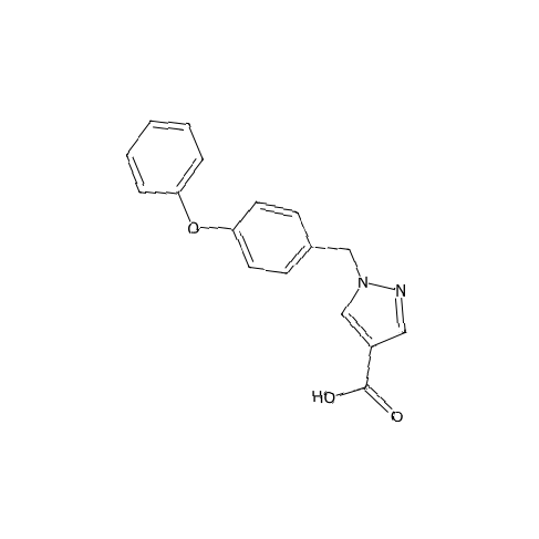 O=C(O)c1cnn(Cc2ccc(Oc3ccccc3)cc2)c1